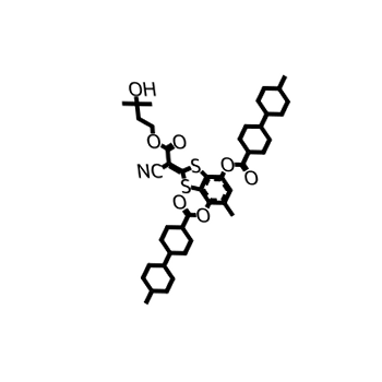 Cc1cc(OC(=O)C2CCC(C3CCC(C)CC3)CC2)c2c(c1OC(=O)C1CCC(C3CCC(C)CC3)CC1)S/C(=C(\C#N)C(=O)OCCC(C)(C)O)S2